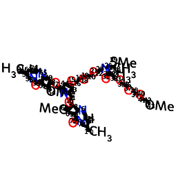 C/C=C1\C[C@H]2C=Nc3cc(OCc4cc(OCCOCCOCCN(CC(C)(C)SC)C(=O)CCOCCOCCOCCOC)cc(COc5cc6c(cc5OC)C(=O)N5C/C(=C/C)C[C@H]5C=N6)n4)c(OC)cc3C(=O)N2C1